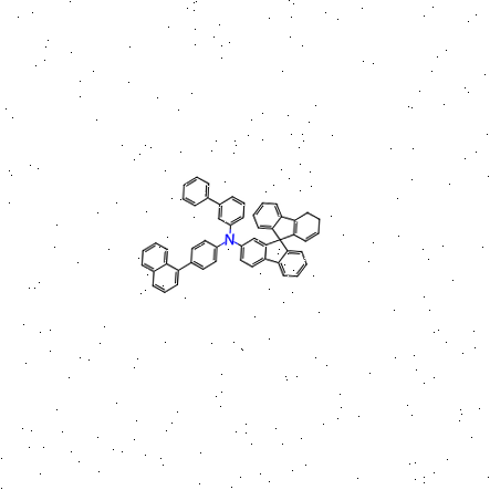 C1=CC2=C(CC1)c1ccccc1C21c2ccccc2-c2ccc(N(c3ccc(-c4cccc5ccccc45)cc3)c3cccc(-c4ccccc4)c3)cc21